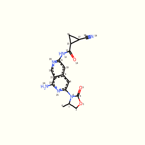 CC1COC(=O)N1c1cc2cc(NC(=O)C3CC3C#N)ncc2c(N)n1